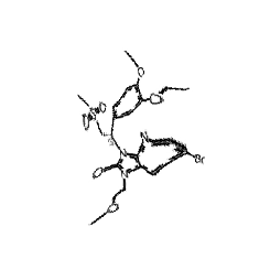 CCOc1cc([C@@H](CS(C)(=O)=O)n2c(=O)n(CCOC)c3cc(Br)cnc32)ccc1OC